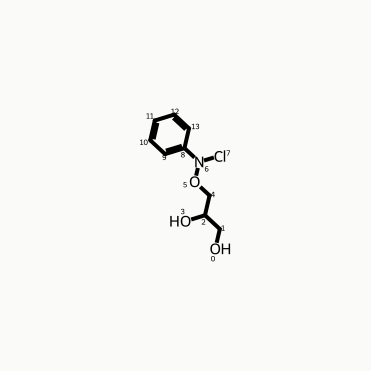 OCC(O)CON(Cl)c1ccccc1